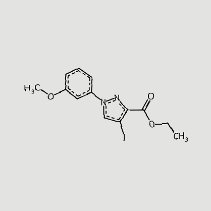 CCOC(=O)c1nn(-c2cccc(OC)c2)cc1I